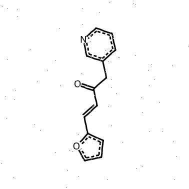 O=C(C=Cc1ccco1)Cc1cccnc1